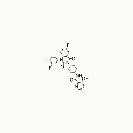 O=C(N[C@H]1CC[C@@H](n2c(=O)c3cc(F)cnc3n(-c3ccc(F)c(F)c3)c2=O)CC1)c1ncccc1O